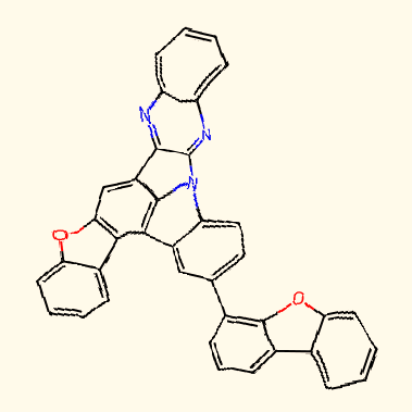 c1ccc2nc3c(nc2c1)c1cc2oc4ccccc4c2c2c4cc(-c5cccc6c5oc5ccccc56)ccc4n3c12